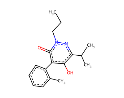 CCCn1nc(C(C)C)c(O)c(-c2ccccc2C)c1=O